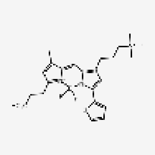 CC1=CC(CCC(=O)O)=[N+]2C1=Cc1c(CCC[N+](C)(C)C)cc(-c3cccs3)n1[B-]2(F)F